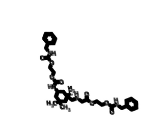 CC1(C)CC(NC(=O)OCCOC(=O)NCc2ccccc2)CC(C)(CNCC(=O)OCCOC(=O)NCc2ccccc2)C1